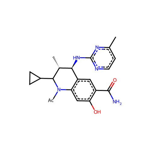 CC(=O)N1c2cc(O)c(C(N)=O)cc2[C@H](Nc2nccc(C)n2)[C@@H](C)C1C1CC1